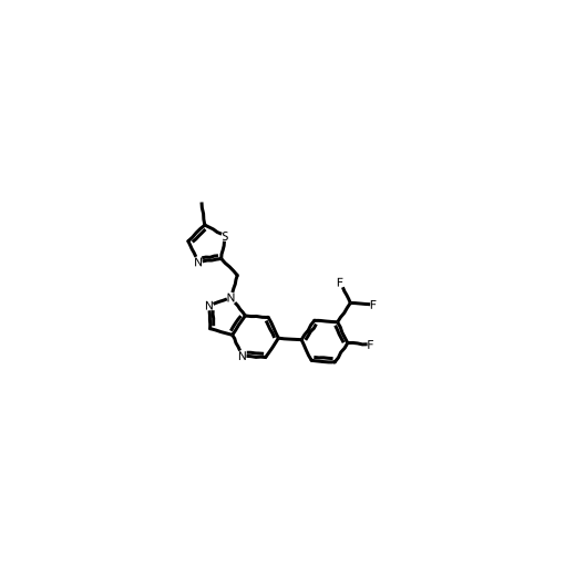 Cc1cnc(Cn2ncc3ncc(-c4ccc(F)c(C(F)F)c4)cc32)s1